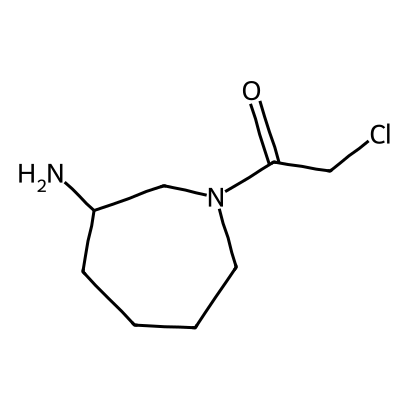 NC1CCCCN(C(=O)CCl)C1